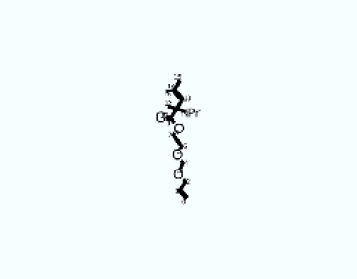 C=CCOCOCCOC(=O)C(C)(C=C(C)C)C(C)C